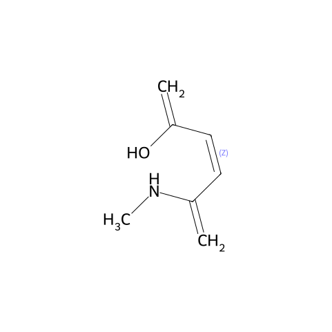 C=C(O)/C=C\C(=C)NC